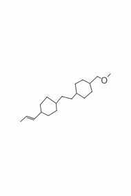 CC=CC1CCC(CCC2CCC(COC)CC2)CC1